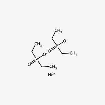 CCP(=O)([O-])CC.CCP(=O)([O-])CC.[Ni+2]